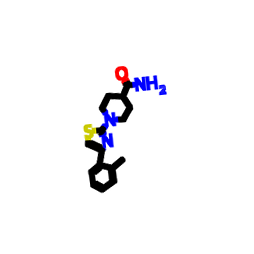 Cc1ccccc1-c1csc(N2CCC(C(N)=O)CC2)n1